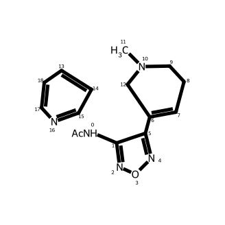 CC(=O)Nc1nonc1C1=CCCN(C)C1.c1ccncc1